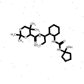 CCCCCCCCCCC1(NC(=O)NC2CCCCC2C(CC(=O)O)NC(=O)C2OC(C)(C)OCC2(C)C)CCCC1